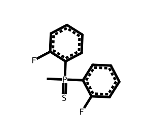 CP(=S)(c1ccccc1F)c1ccccc1F